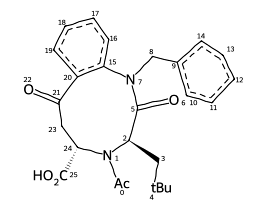 CC(=O)N1[C@H](CC(C)(C)C)C(=O)N(Cc2ccccc2)c2ccccc2C(=O)C[C@H]1C(=O)O